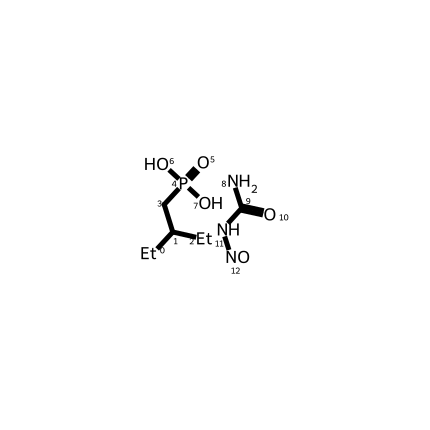 CCC(CC)CP(=O)(O)O.NC(=O)NN=O